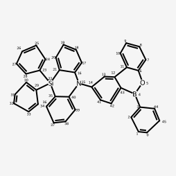 c1ccc(B2Oc3ccccc3-c3cc(N4c5ccccc5[Si](c5ccccc5)(c5ccccc5)c5ccccc54)ccc32)cc1